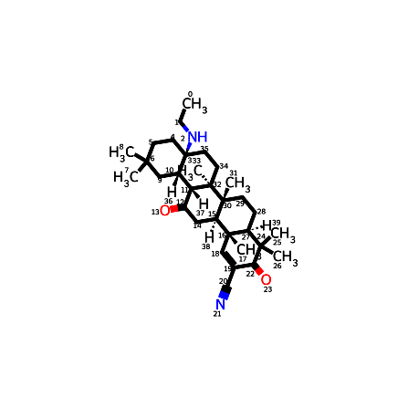 CCN[C@]12CCC(C)(C)C[C@H]1[C@H]1C(=O)C[C@@H]3[C@@]4(C)C=C(C#N)C(=O)C(C)(C)[C@@H]4CC[C@@]3(C)[C@]1(C)CC2